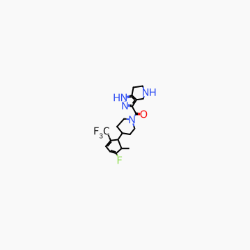 CC1C(F)=CC=C(C(F)(F)F)C1C1CCN(C(=O)c2n[nH]c3c2CNCC3)CC1